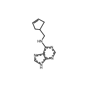 C1=CCC(CNc2ncnc3[nH]cnc23)C1